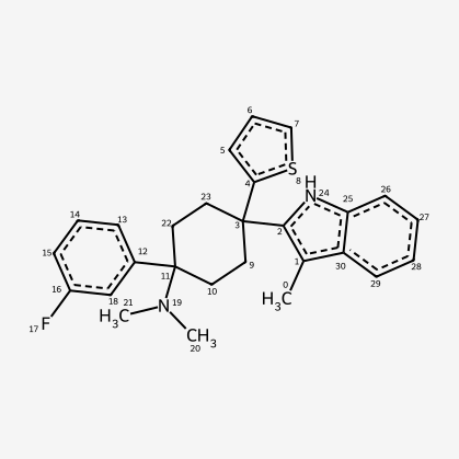 Cc1c(C2(c3cccs3)CCC(c3cccc(F)c3)(N(C)C)CC2)[nH]c2ccccc12